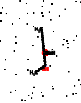 CCCCCCCCCCCCCCCCCC(=O)OC(=O)CCCCCCC/C=C\C[C@H](O)CCCCCC.[NaH].[NaH]